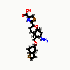 N[C@@H]1C[C@@H]2OC(c3nc(C(=O)O)cs3)CC[C@@H]2C1COc1ccc2sccc2c1